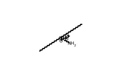 CCCCCCCCCCCCCCCCCCN(CCCCCCCCCCCCCCCCCC)C(=O)[C@H](CCCCN)NC(=O)OC(C)(C)C